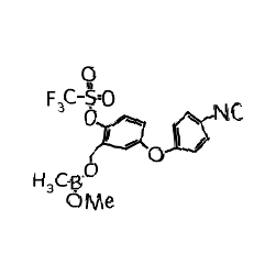 [C-]#[N+]c1ccc(Oc2ccc(OS(=O)(=O)C(F)(F)F)c(COB(C)OC)c2)cc1